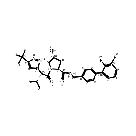 CC(C)[C@@H](C(=O)N1C[C@H](O)C[C@H]1C(=O)NCc1ccc(-c2cccc(F)c2F)cc1)n1cc(C(C)(C)C)nn1